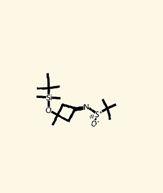 CC1(O[Si](C)(C)C(C)(C)C)CC(=N[S@+]([O-])C(C)(C)C)C1